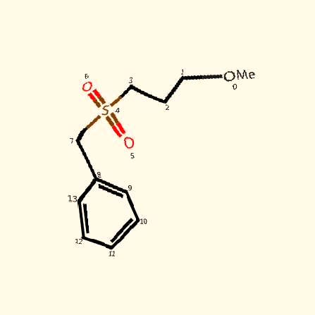 COCCCS(=O)(=O)Cc1ccccc1